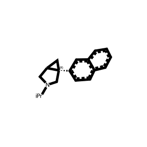 CC(C)N1CC2C[C@@]2(c2ccc3ccccc3c2)C1